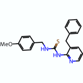 COc1ccc(CNC(=S)Nc2ncccc2Cc2ccccc2)cc1